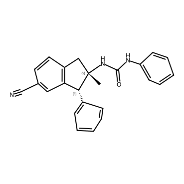 C[C@]1(NC(=O)Nc2ccccc2)Cc2ccc(C#N)cc2[C@H]1c1ccccc1